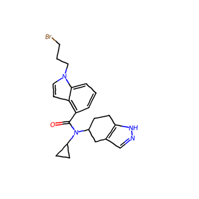 O=C(c1cccc2c1ccn2CCCBr)N(C1CC1)C1CCc2[nH]ncc2C1